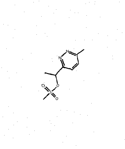 Cc1ccc(C(C)OS(C)(=O)=O)nn1